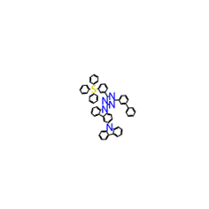 c1ccc(-c2cccc(-c3nc(-c4cccc(S(c5ccccc5)(c5ccccc5)c5ccccc5)c4)nc(-n4c5ccccc5c5cc(-n6c7ccccc7c7ccccc76)ccc54)n3)c2)cc1